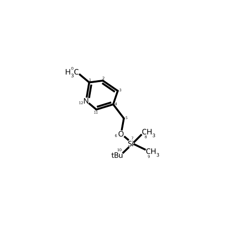 Cc1ccc(CO[Si](C)(C)C(C)(C)C)cn1